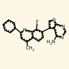 Cc1cc(-c2ccccc2)nc2c(F)c(-c3csc4ncnc(N)c34)ccc12